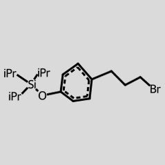 CC(C)[Si](Oc1ccc(CCCBr)cc1)(C(C)C)C(C)C